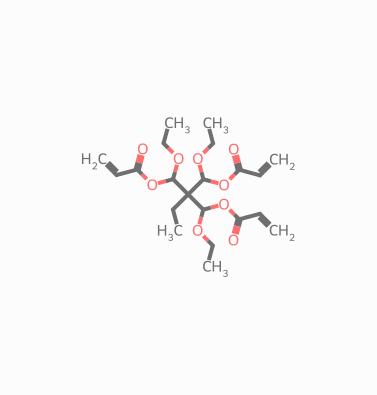 C=CC(=O)OC(OCC)C(CC)(C(OCC)OC(=O)C=C)C(OCC)OC(=O)C=C